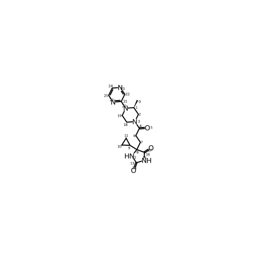 C[C@H]1CN(C(=O)CCC2(C3CC3)NC(=O)NC2=O)CCN1c1cnccn1